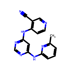 Cc1cccc(Nc2cc(Nc3ccncc3C#N)ncn2)n1